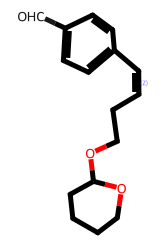 O=Cc1ccc(/C=C\CCOC2CCCCO2)cc1